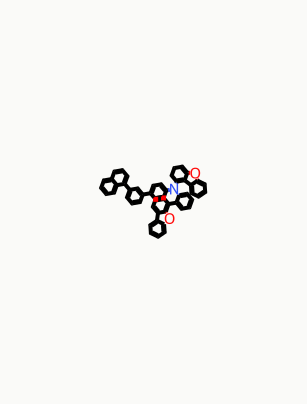 c1cc2c(oc3ccccc32)c(-c2ccccc2N(C2=c3c(oc4ccccc34)=CCC2)c2ccc(-c3cccc(-c4cccc5ccccc45)c3)cc2)c#1